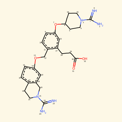 N=C(N)N1CCC(Oc2ccc(COc3ccc4c(c3)CN(C(=N)N)CC4)c(CCC(=O)O)c2)CC1